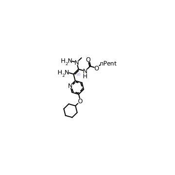 CCCCCOC(=O)N/C(=C(/N)c1ccc(OC2CCCCC2)cn1)N(C)N